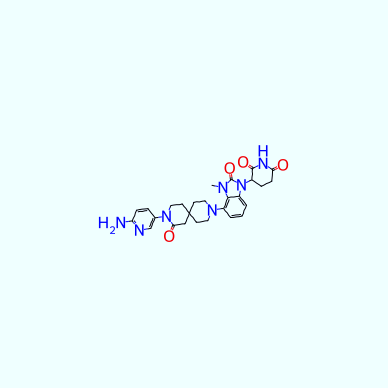 Cn1c(=O)n(C2CCC(=O)NC2=O)c2cccc(N3CCC4(CC3)CCN(c3ccc(N)nc3)C(=O)C4)c21